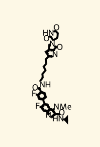 CNc1c(C(=O)NC2CC2)cnc2cc(F)c(-c3ccc(C(=O)NCCCCCCCc4cnc5c(c4)CN(C4CCC(=O)NC4=O)C5=O)c(F)c3)cc12